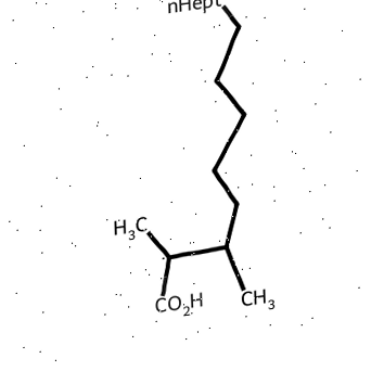 CCCCCCCCCCCCC(C)[C](C)C(=O)O